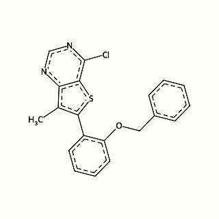 Cc1c(-c2ccccc2OCc2ccccc2)sc2c(Cl)ncnc12